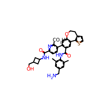 Cc1cc(CN)cc(C)c1NC(=O)c1cc2c(cc1-c1ccc(C(=O)NC3CC(CO)C3)nc1C(=O)O)OCCc1ccsc1-2